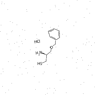 Cl.N[C@H](CS)COCc1ccccc1